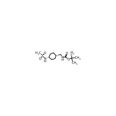 CC(C)(C)OC(=O)NC[C@H]1CC[C@H](NS(C)(=O)=O)CC1